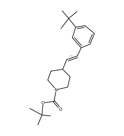 CC(C)(C)OC(=O)N1CCC(/C=C/c2cccc(C(C)(C)C)c2)CC1